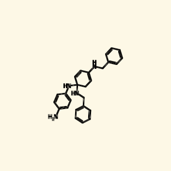 Nc1ccc(NC2(NCc3ccccc3)C=CC(NCc3ccccc3)=CC2)cc1